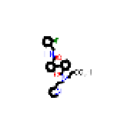 O=C(O)CCN(CCc1ccccn1)C(=O)c1ccccc1-c1ccccc1C(=O)NCc1ccccc1F